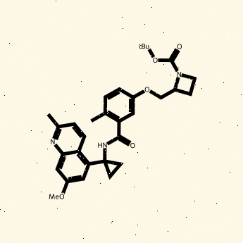 COc1cc(C2(NC(=O)c3cc(OCC4CCN4C(=O)OC(C)(C)C)ccc3C)CC2)c2ccc(C)nc2c1